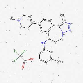 COc1cccc(NC2CCn3nnc(C)c3-c3ccc(C4=CCN(C(C)C)CC4)cc32)c1.O=C(O)C(F)(F)F